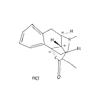 CCC1C(C)C(=O)C[C@]23CCN(C)[C@H](Cc4ccccc42)[C@H]13.Cl